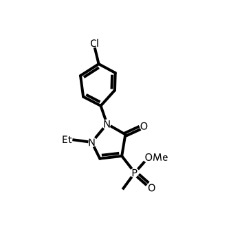 CCn1cc(P(C)(=O)OC)c(=O)n1-c1ccc(Cl)cc1